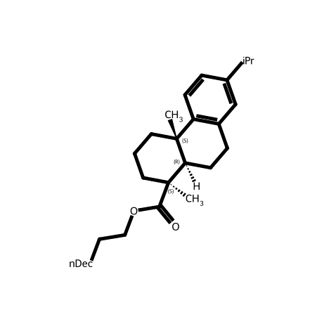 CCCCCCCCCCCCOC(=O)[C@@]1(C)CCC[C@]2(C)c3ccc(C(C)C)cc3CC[C@@H]12